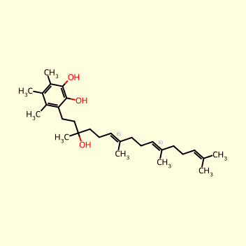 CC(C)=CCC/C(C)=C/CC/C(C)=C/CCC(C)(O)CCc1c(C)c(C)c(C)c(O)c1O